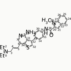 CCN(CC)CC=Cc1cnc(N)c2c(-c3ccc(NC(=O)c4cc5ccccc5n4C)cc3)csc12